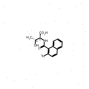 [2H]c1ccc2ccccc2c1C(=O)N[C@H](C(=O)O)[C@@H](C)O